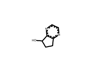 OC1CCc2nccnc21